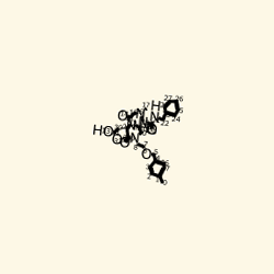 Cc1ccc(COCCN2C[C@H]3N(C(=O)CN(C)N3C(=O)NCc3ccccc3)[C@@H](CC(=O)O)C2=O)cc1